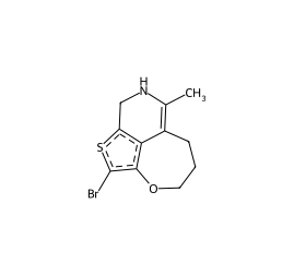 CC1=C2CCCOc3c(Br)sc(c32)CN1